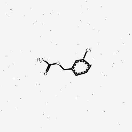 N#Cc1cccc(COC(N)=O)c1